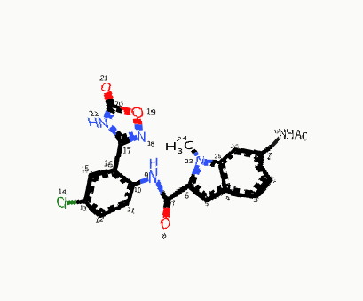 CC(=O)Nc1ccc2cc(C(=O)Nc3ccc(Cl)cc3-c3noc(=O)[nH]3)n(C)c2c1